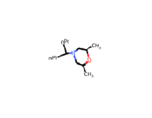 CCCC(CCC)N1C[C@@H](C)O[C@@H](C)C1